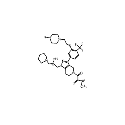 CNC(=O)C(=O)N1CCc2c(c(-c3ccc(C(F)(F)F)c(SCCN4CCC(F)CC4)c3)nn2C[C@H](O)CN2CCCCC2)C1